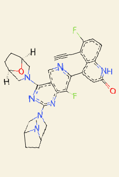 C#Cc1c(F)ccc2[nH]c(=O)cc(-c3ncc4c(N5C[C@H]6CC[C@@H](C5)O6)nc(N5CC6CCC(C5)N6C)nc4c3F)c12